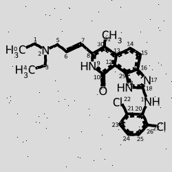 CCN(CC)CC=Cc1[nH]c(=O)c2c(ccc3nc(Nc4c(Cl)cccc4Cl)[nH]c32)c1C